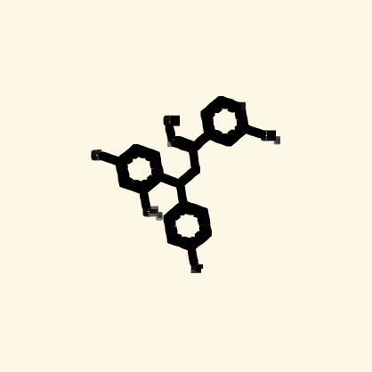 Cc1cc(/C(CC(c2ccc(Br)cc2)c2ccc(Cl)cc2C)=N\O)ccn1